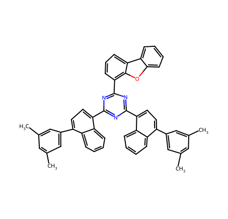 Cc1cc(C)cc(-c2ccc(-c3nc(-c4ccc(-c5cc(C)cc(C)c5)c5ccccc45)nc(-c4cccc5c4oc4ccccc45)n3)c3ccccc23)c1